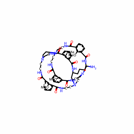 COc1c2cccc1C(=O)NCCN1CCNC(=O)c3cccc(c3OC)C(=O)NCCN(CCNC2=O)CCN2CCNC(=O)c3cccc(c3OC)C(=O)NCCN(CC1)CC(CCCCN)NC(=O)c1cccc(c1OC)C(=O)NCC2